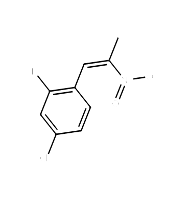 CC(=Cc1ccc(Cl)cc1F)[N+](=O)[O-]